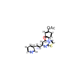 CC(=O)Oc1ccc([N+]23C=CSC2=NC(/C=C/c2cccnc2)=CC3=O)cc1